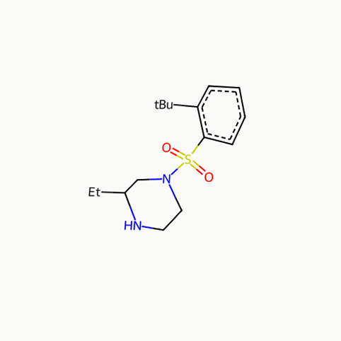 CCC1CN(S(=O)(=O)c2ccccc2C(C)(C)C)CCN1